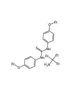 CCC(N)(CC)CC.CCOc1ccc(NC(=S)Nc2ccc(OCC)cc2)cc1